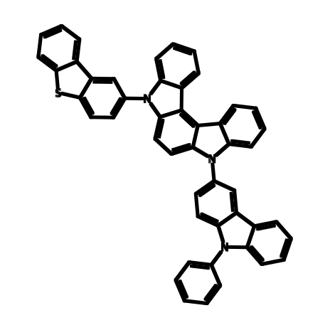 c1ccc(-n2c3ccccc3c3cc(-n4c5ccccc5c5c6c7ccccc7n(-c7ccc8sc9ccccc9c8c7)c6ccc54)ccc32)cc1